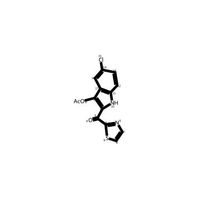 CC(=O)Oc1c(C(=O)c2nccs2)[nH]c2ccc(Cl)cc12